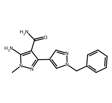 Cn1nc(-c2cnn(Cc3ccccc3)c2)c(C(N)=O)c1N